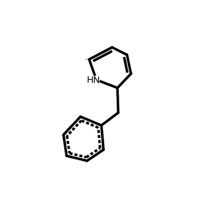 [C]1=CC=CC(Cc2ccccc2)N1